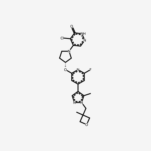 Cc1c(-c2cc(F)nc(O[C@@H]3CCN(c4cn[nH]c(=O)c4Cl)C3)c2)cnn1CC1(C)COC1